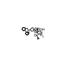 N#CC[C@]1(n2cc(C(N)O)c(NC(=O)C3CC3)n2)CC[C@H](NCc2ccccc2-c2ccccc2)CC1